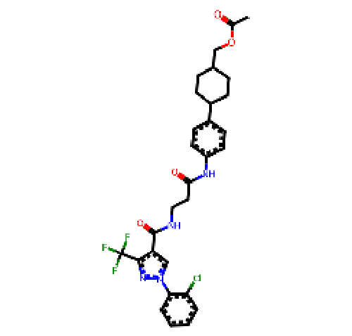 CC(=O)OCC1CCC(c2ccc(NC(=O)CCNC(=O)c3cn(-c4ccccc4Cl)nc3C(F)(F)F)cc2)CC1